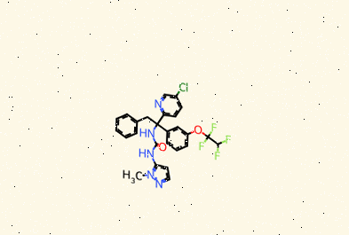 Cn1nccc1NC(=O)NC(Cc1ccccc1)(c1cccc(OC(F)(F)C(F)F)c1)c1ccc(Cl)cn1